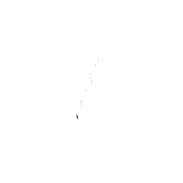 [CH]=CCCOCCCCC